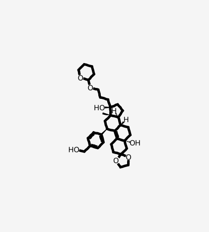 C[C@]12C[C@H](c3ccc(CO)cc3)C3=C4CCC5(C[C@]4(O)CC[C@H]3[C@@H]1CC[C@@]2(O)CCCOC1CCCCO1)OCCO5